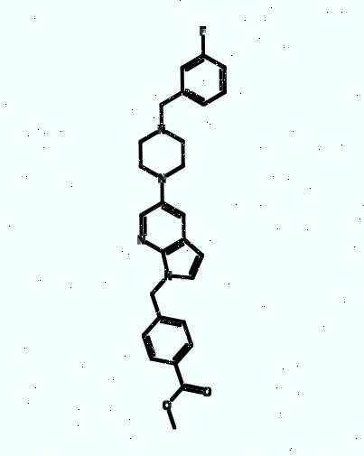 COC(=O)c1ccc(Cn2ccc3cc(N4CCN(Cc5cccc(F)c5)CC4)cnc32)cc1